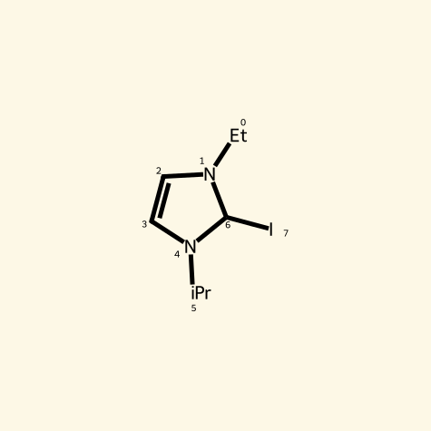 CCN1C=CN(C(C)C)C1I